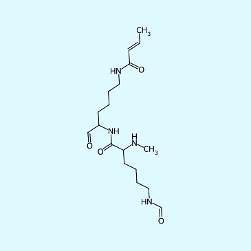 C/C=C/C(=O)NCCCCC(C=O)NC(=O)C(CCCCNC=O)NC